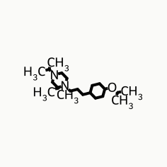 CC(C)OC1CCC(CCCN2CCN(C(C)C)CC2(C)C)CC1